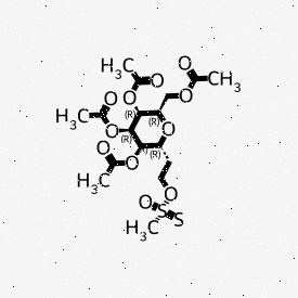 CC(=O)OC[C@H]1O[C@H](CCOS(C)(=O)=S)[C@@H](OC(C)=O)[C@@H](OC(C)=O)[C@@H]1OC(C)=O